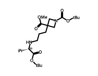 COC(=O)C1(CCCN[C@H](C(=O)OC(C)(C)C)C(C)C)CN(C(=O)OC(C)(C)C)C1